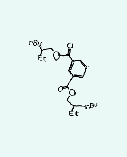 CCCCC(CC)COC(=O)c1c[c]cc(C(=O)OCC(CC)CCCC)c1